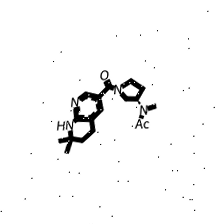 CC(=O)N(C)[C@H]1CCN(C(=O)c2cnc3c(c2)CCC(C)(C)N3)C1